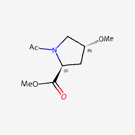 COC(=O)[C@@H]1C[C@@H](OC)CN1C(C)=O